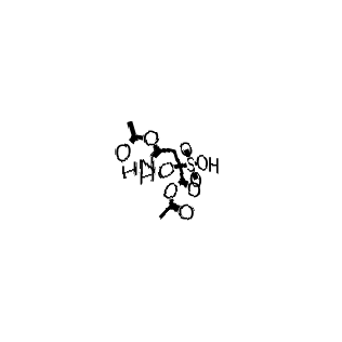 CC(=O)OC(=N)CC(O)(C(=O)OC(C)=O)S(=O)(=O)O